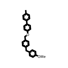 COc1ccc(Cc2ccc(COc3ccc(-c4ccc(C)cc4)cc3)cc2)cc1